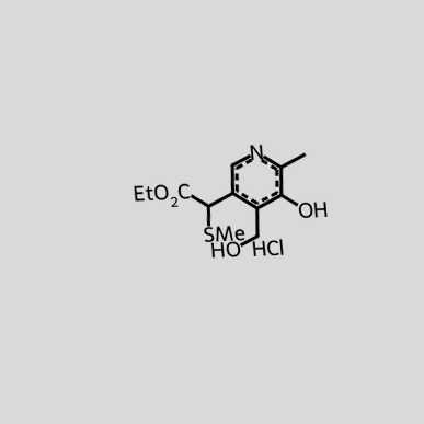 CCOC(=O)C(SC)c1cnc(C)c(O)c1CO.Cl